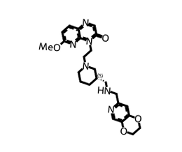 COc1ccc2ncc(=O)n(CCN3CCC[C@@H](CNCc4cc5c(cn4)OCCO5)C3)c2n1